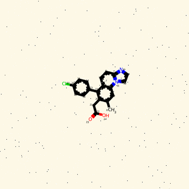 Cc1cc2c(ccc3nccn32)c(-c2ccc(Cl)cc2)c1CC(=O)O